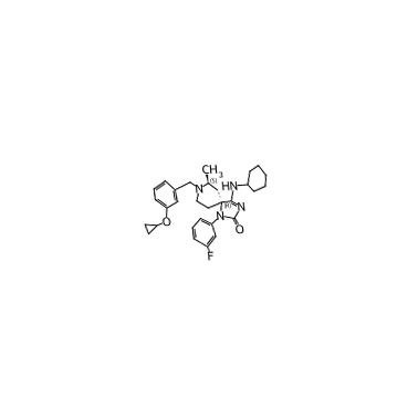 C[C@H]1C[C@]2(CCN1Cc1cccc(OC3CC3)c1)C(NC1CCCCC1)=NC(=O)N2c1cccc(F)c1